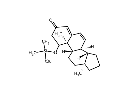 CC(C)(C)[Si](C)(C)OC1CC(=O)C=C2C=C[C@H]3[C@@H]4CCC[C@@]4(C)CC[C@@H]3[C@]21C